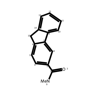 CNC(=O)c1ccc2c(c1)-c1ccccc1C2